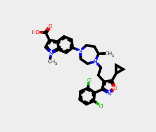 CC1CCN(c2ccc3c(C(=O)O)cn(C)c3c2)CCN1CCc1c(-c2c(Cl)cccc2Cl)noc1C1CC1